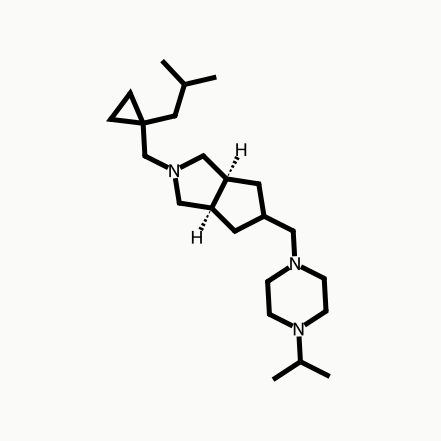 CC(C)CC1(CN2C[C@H]3CC(CN4CCN(C(C)C)CC4)C[C@H]3C2)CC1